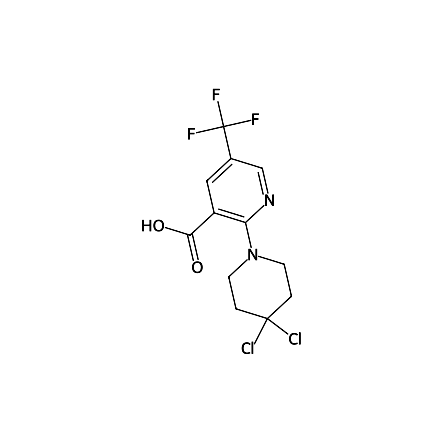 O=C(O)c1cc(C(F)(F)F)cnc1N1CCC(Cl)(Cl)CC1